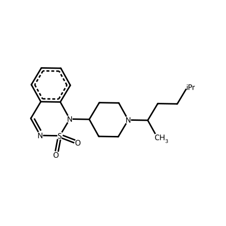 CC(C)CCC(C)N1CCC(N2c3ccccc3C=NS2(=O)=O)CC1